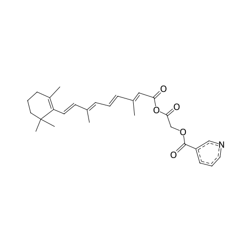 CC1=C(/C=C/C(C)=C/C=C/C(C)=C/C(=O)OC(=O)COC(=O)c2cccnc2)C(C)(C)CCC1